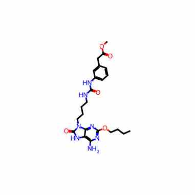 CCCCOc1nc(N)c2[nH]c(=O)n(CCCCNC(=O)Nc3cccc(CC(=O)OC)c3)c2n1